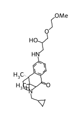 COCCOCC(O)CNc1ccc2c(c1)[C@]1(C)CCN(CC3CC3)C(C2=O)[C@@H]1C